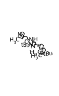 Cc1cc(CC(=O)Nc2cc([C@H]3CC[C@@H](O[Si](C)(C)C(C)(C)C)C3)nn2C(C)(C)C)on1